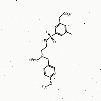 CCCCCN(CCNS(=O)(=O)c1cc(C)cc(CC(=O)O)c1)Cc1ccc(OC(F)(F)F)cc1